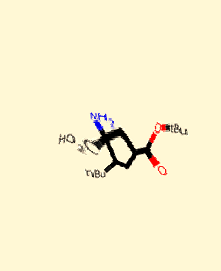 CCCCC1CC(C(=O)OC(C)(C)C)CC1(N)C(=O)O